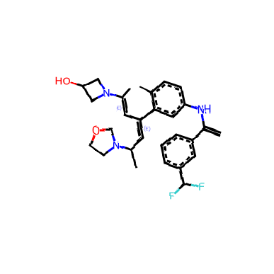 C=C(Nc1ccc(C)c(C(=C/C(C)N2CCOC2)/C=C(\C)N2CC(O)C2)c1)c1cccc(C(F)F)c1